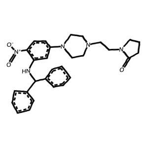 O=C1CCCN1CCN1CCN(c2ccc([N+](=O)[O-])c(NC(c3ccccc3)c3ccccc3)c2)CC1